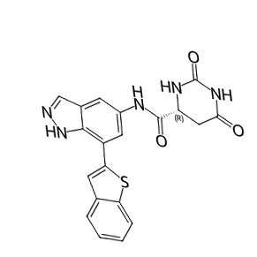 O=C1C[C@H](C(=O)Nc2cc(-c3cc4ccccc4s3)c3[nH]ncc3c2)NC(=O)N1